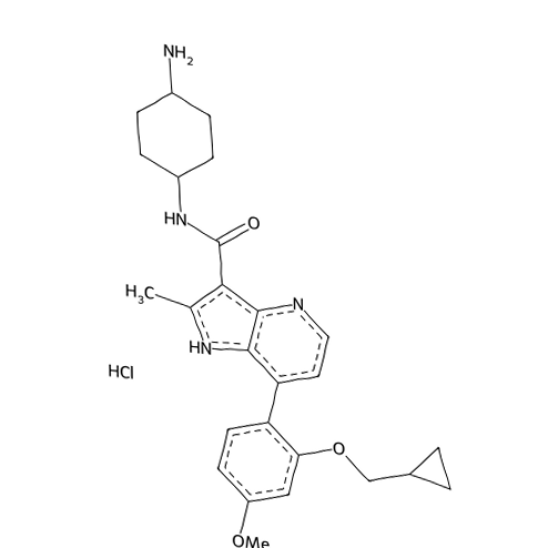 COc1ccc(-c2ccnc3c(C(=O)NC4CCC(N)CC4)c(C)[nH]c23)c(OCC2CC2)c1.Cl